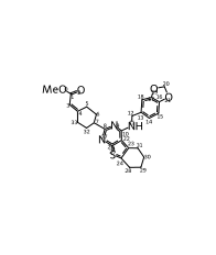 COC(=O)C=C1CCC(c2nc(NCc3ccc4c(c3)OCO4)c3c4c(sc3n2)CCCC4)CC1